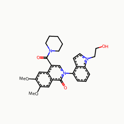 COc1cc2c(C(=O)N3CCCCC3)cn(-c3cccc4c3ccn4CCO)c(=O)c2cc1OC